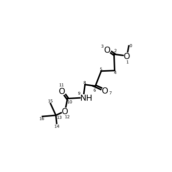 COC(=O)CCC(=O)CNC(=O)OC(C)(C)C